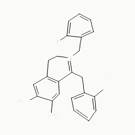 COc1cc2c(cc1OC)C(Cc1ccccc1F)=[N+](Cc1ccccc1F)CC2.[Cl-]